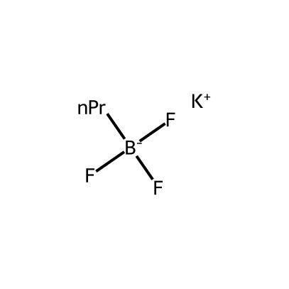 CCC[B-](F)(F)F.[K+]